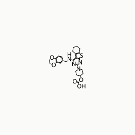 O=C(O)OC1CCN(c2nc(NCc3ccc4c(c3)OCCO4)c3c4c(sc3n2)CCCC4)CC1